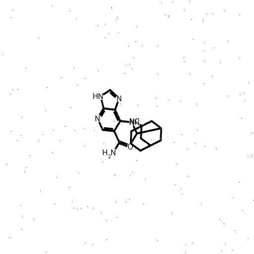 N#CC12CC3CC(C1)C(Nc1c(C(N)=O)cnc4[nH]cnc14)C(C3)C2